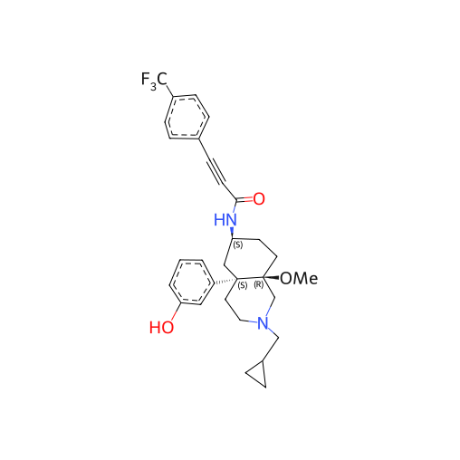 CO[C@]12CC[C@H](NC(=O)C#Cc3ccc(C(F)(F)F)cc3)C[C@]1(c1cccc(O)c1)CCN(CC1CC1)C2